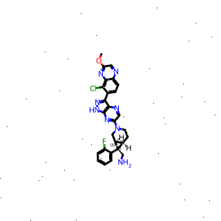 COc1cnc2ccc(-c3n[nH]c4nc(N5CC[C@@H]6[C@H](C5)[C@@]6(CN)c5ccccc5F)cnc34)c(Cl)c2n1